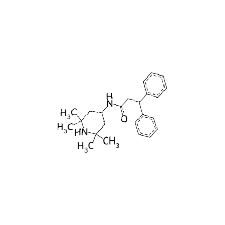 CC1(C)CC(NC(=O)CC(c2ccccc2)c2ccccc2)CC(C)(C)N1